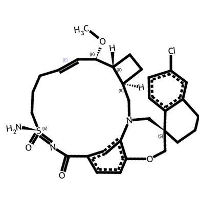 CO[C@H]1/C=C/CCC[S@@](N)(=O)=NC(=O)c2ccc3c(c2)N(C[C@@H]2CC[C@H]21)C[C@@]1(CCCc2cc(Cl)ccc21)CO3